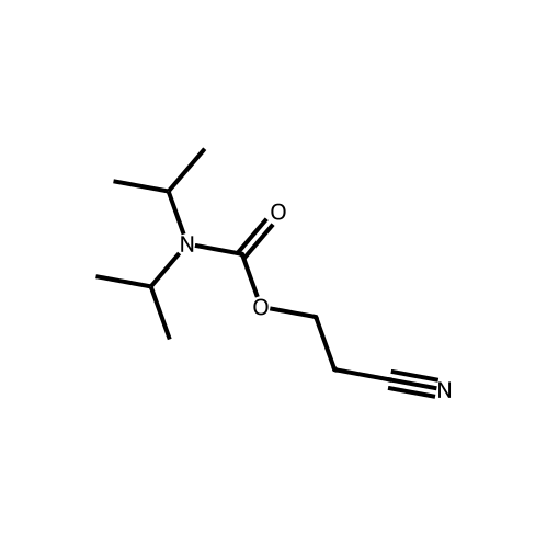 CC(C)N(C(=O)OCCC#N)C(C)C